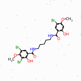 COc1cc(O)c(C(=O)NCCCCCNC(=O)c2cc(Br)c(OC)c(Br)c2O)cc1Br